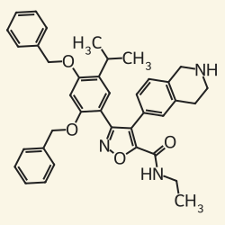 CCNC(=O)c1onc(-c2cc(C(C)C)c(OCc3ccccc3)cc2OCc2ccccc2)c1-c1ccc2c(c1)CCNC2